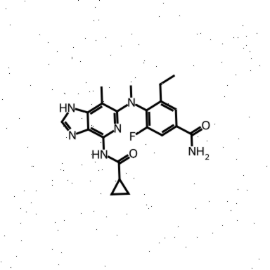 CCc1cc(C(N)=O)cc(F)c1N(C)c1nc(NC(=O)C2CC2)c2nc[nH]c2c1C